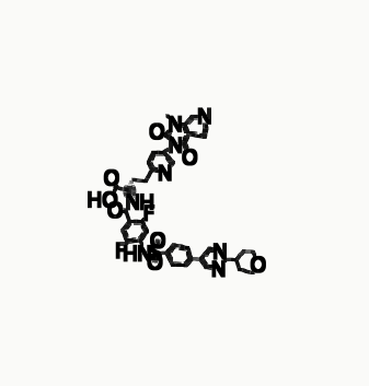 Cn1c(=O)n(-c2ccc(CC[C@H](NC(=O)c3cc(F)c(NS(=O)(=O)c4ccc(-c5cnc(C6CCOCC6)nc5)cc4)cc3F)C(=O)O)nc2)c(=O)c2ccncc21